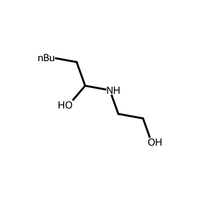 CCCCCC(O)NCCO